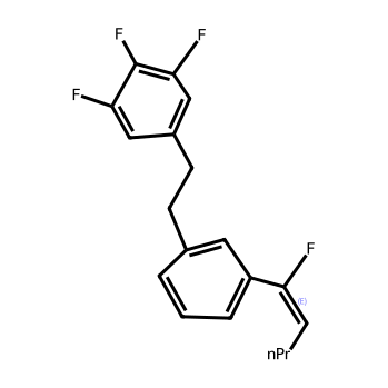 CCC/C=C(/F)c1cccc(CCc2cc(F)c(F)c(F)c2)c1